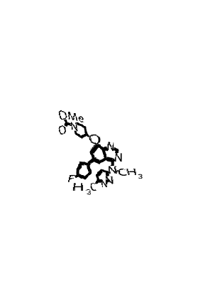 COC(=O)N1CCC(Oc2cc(-c3ccc(F)cc3)cc3c(N(C)c4ccc(C)nn4)ncnc23)CC1